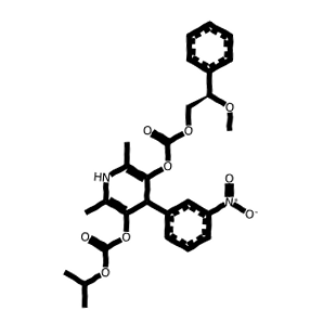 CO[C@@H](COC(=O)OC1=C(C)NC(C)=C(OC(=O)OC(C)C)C1c1cccc([N+](=O)[O-])c1)c1ccccc1